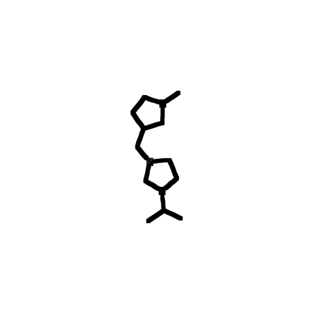 CC(C)N1CCN(CC2CCN(C)C2)C1